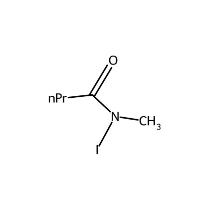 CCCC(=O)N(C)I